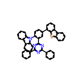 c1ccc(-c2nc(-c3ccccc3)nc(-c3cc(-c4cccc5c4sc4ccccc45)ccc3-n3c4ccccc4c4ccccc43)n2)cc1